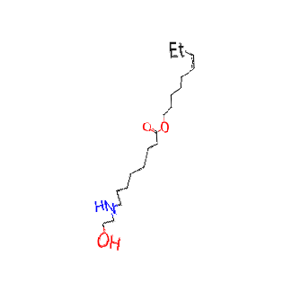 CC/C=C\CCCCCOC(=O)CCCCCCCNCCO